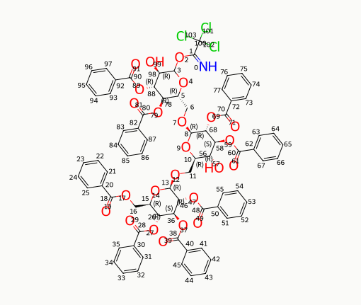 N=C(OC1O[C@H](CO[C@@H]2O[C@H](CO[C@@H]3O[C@H](COC(=O)c4ccccc4)[C@@H](OC(=O)c4ccccc4)[C@H](OC(=O)c4ccccc4)[C@H]3OC(=O)c3ccccc3)[C@@H](O)[C@H](OC(=O)c3ccccc3)[C@H]2OC(=O)c2ccccc2)[C@@H](OC(=O)c2ccccc2)[C@H](OC(=O)c2ccccc2)[C@H]1O)C(Cl)(Cl)Cl